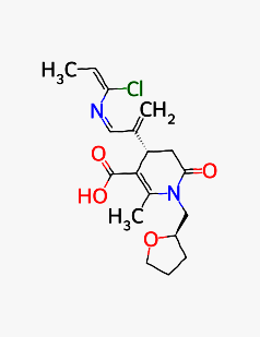 C=C(/C=N\C(Cl)=C/C)[C@@H]1CC(=O)N(C[C@H]2CCCO2)C(C)=C1C(=O)O